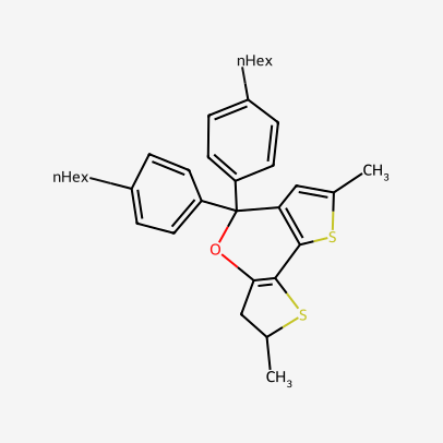 CCCCCCc1ccc(C2(c3ccc(CCCCCC)cc3)OC3=C(SC(C)C3)c3sc(C)cc32)cc1